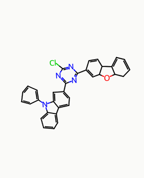 Clc1nc(C2=CC3OC4CC=CC=C4C3C=C2)nc(-c2ccc3c4ccccc4n(-c4ccccc4)c3c2)n1